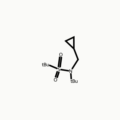 CC(C)(C)N(CC1CC1)S(=O)(=O)C(C)(C)C